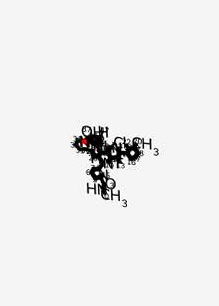 CNC(=O)c1cccc(-c2nc3c(F)c(-c4cccc(C)c4Cl)ncc3c3c2cc(C2CCCN2C(=O)O)n3[C@H]2[C@H]3CN[C@@H]2C3)n1